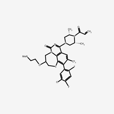 C=CC(=O)N1[C@H](C)CN(c2nc(=O)n3c4c(c(-c5cc(Cl)c(F)cc5F)c(C(F)(F)F)cc24)SCC(OCCNC)C3)C[C@@H]1C